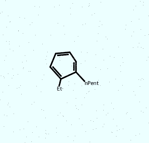 C[CH]c1ccccc1CCCCC